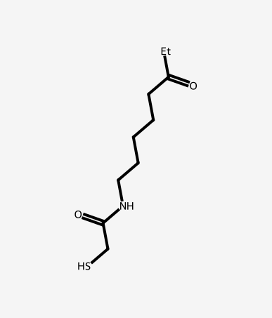 CCC(=O)CCCCCNC(=O)CS